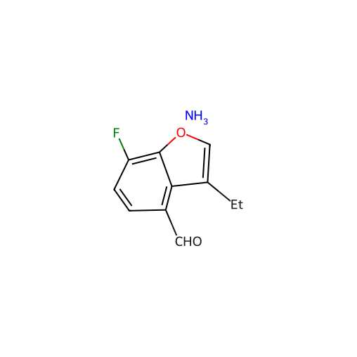 CCc1coc2c(F)ccc(C=O)c12.N